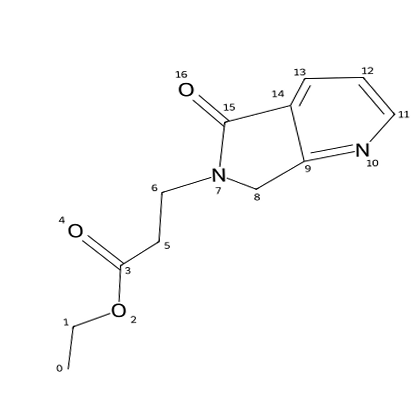 CCOC(=O)CCN1Cc2ncccc2C1=O